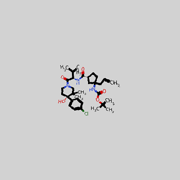 C=CCC1(NC(=O)OC(C)(C)C)CC[C@@H](C(=O)N[C@@H](C(=O)N2CC[C@](O)(c3ccc(Cl)cc3)C(C)(C)C2)C(C)C)C1